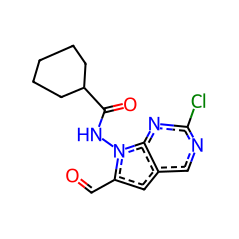 O=Cc1cc2cnc(Cl)nc2n1NC(=O)C1CCCCC1